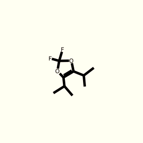 CC(C)C1=C(C(C)C)OC(F)(F)O1